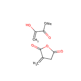 C=C(O)C(=O)OC.C=C1CC(=O)OC1=O